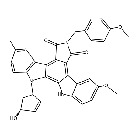 COc1ccc(CN2C(=O)c3c(c4c5cc(C)ccc5n(C5C=C[C@@H](O)C5)c4c4[nH]c5ccc(OC)cc5c34)C2=O)cc1